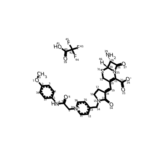 COc1ccc(NC(=O)C[n+]2ccc(CN3CCC(=CC4=C(C(=O)[O-])N5C(=O)[C@@H](N)[C@H]5SC4)C3=O)cc2)cc1.O=C(O)C(F)(F)F